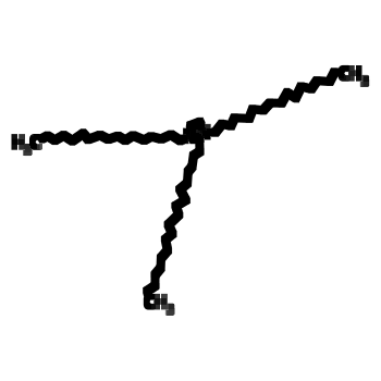 CCCCCCCCCCCCCCCCCCCc1n(CCCCCCCCCCCCCCCCC)cc[n+]1CCCCCCCCCCCCCCCCC